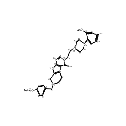 COc1ccc(CN2CCc3c(sc4ncn(CCN5CCN(c6ccccc6OC)CC5)c(=O)c34)C2)cc1